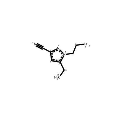 CCCn1nc(C#N)cc1CC